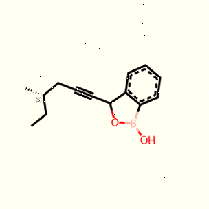 CC[C@H](C)CC#CC1OB(O)c2ccccc21